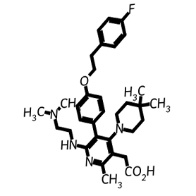 Cc1nc(NCCN(C)C)c(-c2ccc(OCCc3ccc(F)cc3)cc2)c(N2CCC(C)(C)CC2)c1CC(=O)O